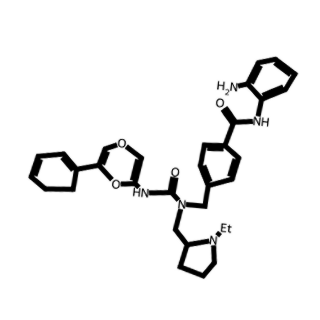 CCN1CCCC1CN(Cc1ccc(C(=O)Nc2ccccc2N)cc1)C(=O)NC1=COC=C(C2=CC=CCC2)O1